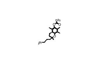 CCCC(=O)Oc1c(C)c(C)c2c(c1C)CCC(C)(CCCC(C)C)O2